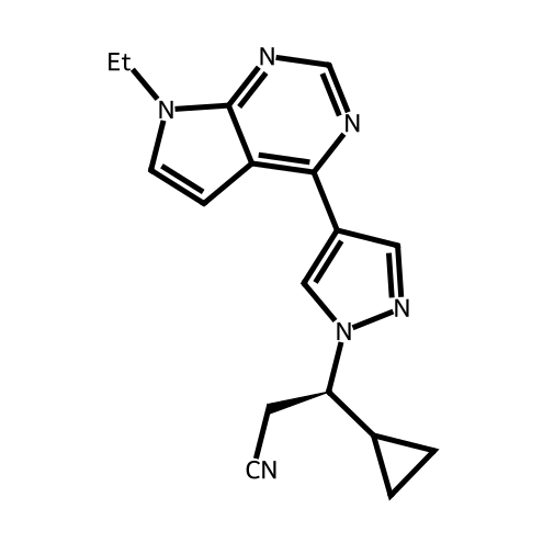 CCn1ccc2c(-c3cnn([C@H](CC#N)C4CC4)c3)ncnc21